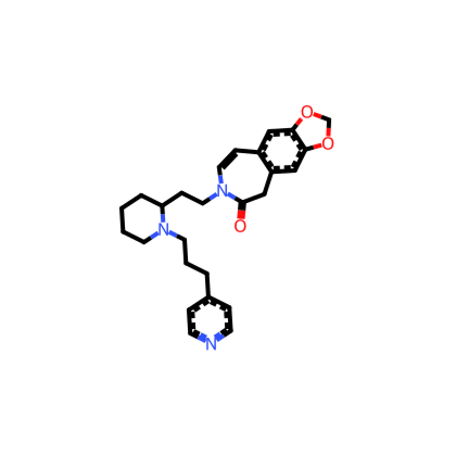 O=C1Cc2cc3c(cc2C=CN1CCC1CCCCN1CCCc1ccncc1)OCO3